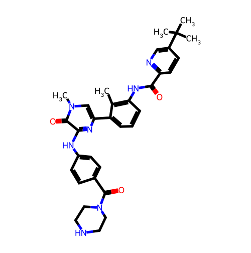 Cc1c(NC(=O)c2ccc(C(C)(C)C)cn2)cccc1-c1cn(C)c(=O)c(Nc2ccc(C(=O)N3CCNCC3)cc2)n1